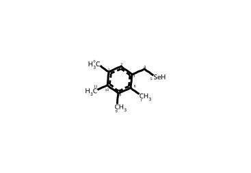 Cc1cc(C[SeH])c(C)c(C)c1C